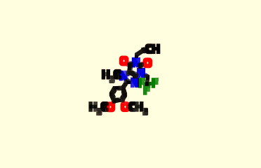 C#CCn1c(=O)c2c(nc(-c3ccc(OC)c(OC)c3)n2C)n(CC(F)(F)F)c1=O